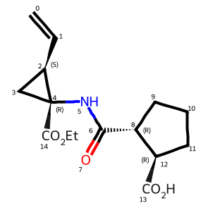 C=C[C@@H]1C[C@]1(NC(=O)[C@@H]1CCC[C@H]1C(=O)O)C(=O)OCC